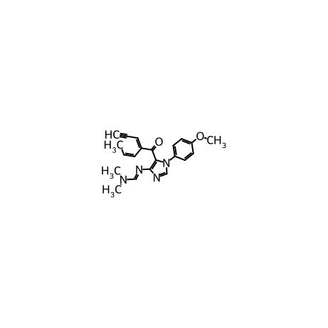 C#C/C=C(\C=C/C)C(=O)c1c(/N=C/N(C)C)ncn1-c1ccc(OC)cc1